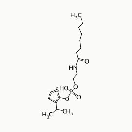 CCCCCCCC(=O)NCCOP(=O)(O)Oc1sccc1C(C)C